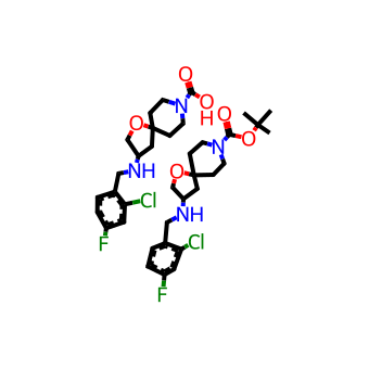 CC(C)(C)OC(=O)N1CCC2(CC1)CC(NCc1ccc(F)cc1Cl)CO2.O=C(O)N1CCC2(CC1)CC(NCc1ccc(F)cc1Cl)CO2